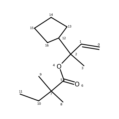 C=CC(C)(OC(=O)C(C)(C)CC)C1CCCC1